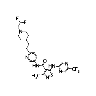 Cc1nsc(Nc2cnc(C(F)(F)F)cn2)c1C(=O)Nc1ccc(CCC2CCN(CC(F)F)CC2)nc1